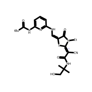 CCn1c(=O)c(=CNc2cccc(NC(=O)C(C)(C)C)n2)s/c1=C(/C#N)C(=O)NC(C)(C)CO